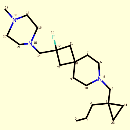 CCCC1(CN2CCC3(CC2)CC(F)(CN2CCN(C)CC2)C3)CC1